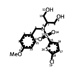 COc1ccc(CN(C(CO)CO)S(=O)(=O)c2ccc(Cl)s2)cc1